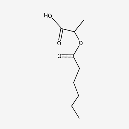 CCCCCC(=O)OC(C)C(=O)O